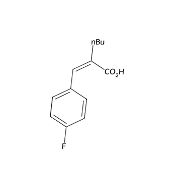 CCCCC(=Cc1ccc(F)cc1)C(=O)O